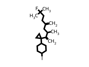 C=C(CCC(C)(C)F)CC(C)C(=C)C1(C2CCC(I)CC2)CC1